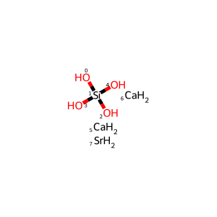 O[Si](O)(O)O.[CaH2].[CaH2].[SrH2]